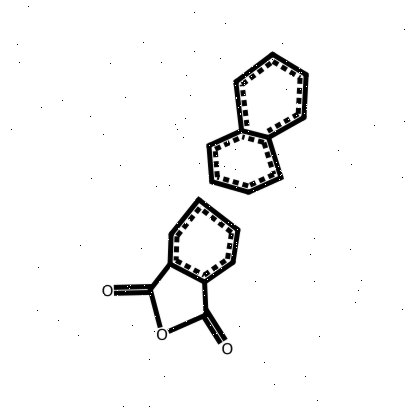 O=C1OC(=O)c2ccccc21.c1ccc2ccccc2c1